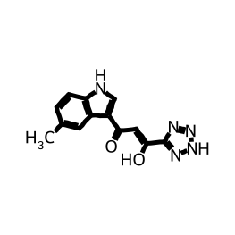 Cc1ccc2[nH]cc(C(=O)/C=C(\O)c3nn[nH]n3)c2c1